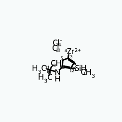 C[SiH]1C2=[C]([Zr+2])CC(NC(C)(C)C)=C21.[Cl-].[Cl-]